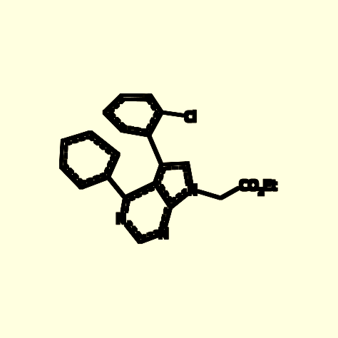 CCOC(=O)Cn1cc(-c2ccccc2Cl)c2c(-c3ccccc3)ncnc21